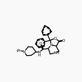 CC(C)N1CCC(NC(=O)C2CNCC3C(=O)OC(c4ccccc4)(c4ccccc4)N23)CC1